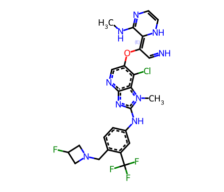 CNC1=NC=CN/C1=C(\C=N)Oc1cnc2nc(Nc3ccc(CN4CC(F)C4)c(C(F)(F)F)c3)n(C)c2c1Cl